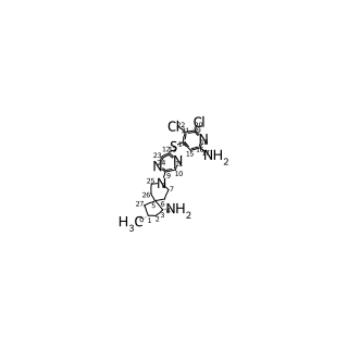 C[C@H]1C[C@@H](N)C2(CCN(c3cnc(Sc4cc(N)nc(Cl)c4Cl)cn3)CC2)C1